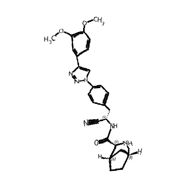 COc1ccc(-c2cn(-c3ccc(C[C@@H](C#N)NC(=O)[C@H]4N[C@@H]5CC[C@H]4C5)cc3)nn2)cc1OC